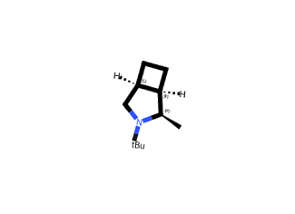 C[C@@H]1[C@@H]2CC[C@@H]2CN1C(C)(C)C